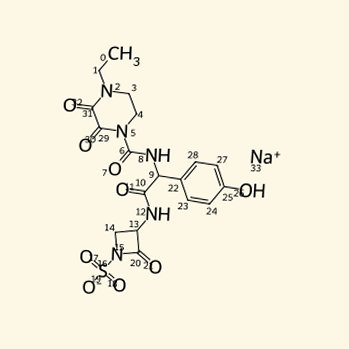 CCN1CCN(C(=O)NC(C(=O)NC2CN(S(=O)(=O)[O-])C2=O)c2ccc(O)cc2)C(=O)C1=O.[Na+]